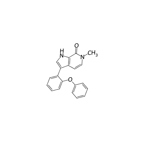 Cn1ccc2c(-c3ccccc3Oc3ccccc3)c[nH]c2c1=O